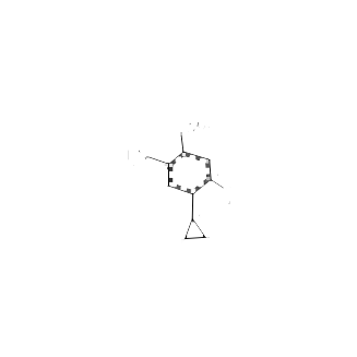 COc1cc(Cl)c(C2CC2)cc1N